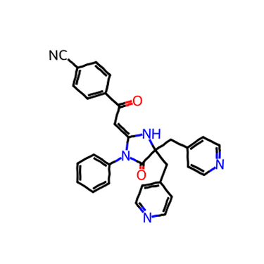 N#Cc1ccc(C(=O)C=C2NC(Cc3ccncc3)(Cc3ccncc3)C(=O)N2c2ccccc2)cc1